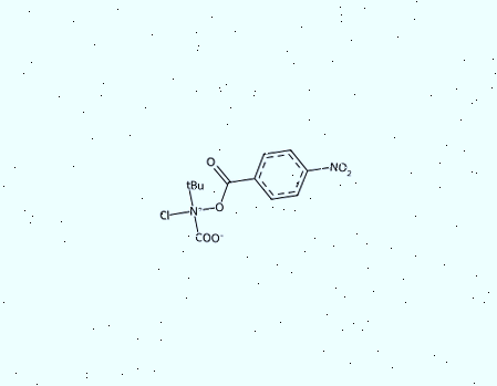 CC(C)(C)[N+](Cl)(OC(=O)c1ccc([N+](=O)[O-])cc1)C(=O)[O-]